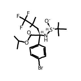 CC(C)OC(=O)[C@](CC(C)(C)C(F)(F)F)(N[S@@+]([O-])C(C)(C)C)c1ccc(Br)cc1